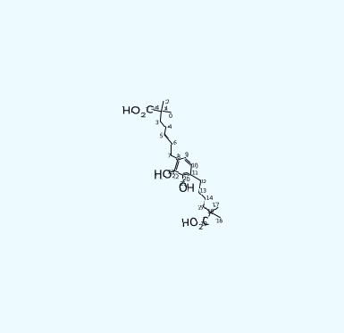 CC(C)(CCCCCc1ccc(CCCCC(C)(C)C(=O)O)c(O)c1O)C(=O)O